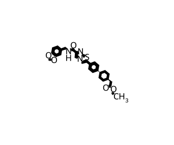 CCOC(=O)C[C@H]1CC[C@H](c2ccc(-c3cn4cc(C(=O)NCc5ccc6c(c5)OCO6)nc4s3)cc2)CC1